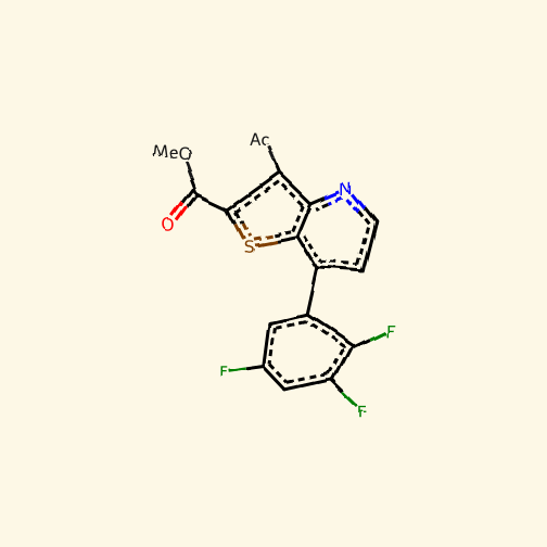 COC(=O)c1sc2c(-c3cc(F)cc(F)c3F)ccnc2c1C(C)=O